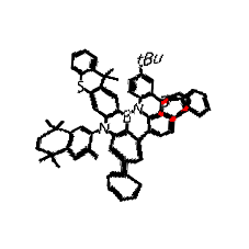 Cc1cc2c(cc1N1c3cc4c(cc3B3c5c(cc(-c6ccccc6)cc51)-c1ccc5c(sc6ccccc65)c1N3c1ccc(C(C)(C)C)cc1-c1ccccc1)C(C)(C)c1ccccc1S4)C(C)(C)CCC2(C)C